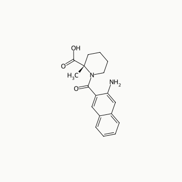 C[C@@]1(C(=O)O)CCCCN1C(=O)c1cc2ccccc2cc1N